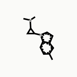 Cc1ccc2c(ccn2C2CC2N(C)C)c1